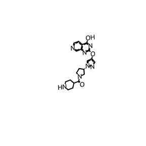 O=C(C1CCNCC1)N1CC[C@H](n2cc(Oc3nc(O)c4ccncc4n3)cn2)C1